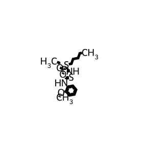 CCCCCSP(=N)(OCC)OC(=S)Nc1ccccc1OC